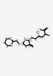 C=C(I)C(C)C[C@@H](Cl)CC[C@@H]1O[C@@H](CCC2OCCCO2)CC1=C